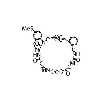 CSc1ccc2c(c1)CC[C@H]1NC(=O)CC(C)(C)NCCOC(=O)CNC(=O)NCc3ccccc3-c3ccc(cc3)CN2C1=O